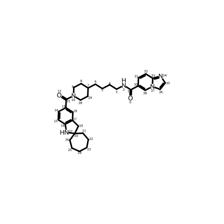 O=C(NCCCCC1CCN(C(=O)c2ccc3c(c2)CC2(CCCCCC2)N3)CC1)c1ccc2nccn2c1